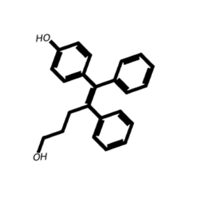 OCCCC(=C(c1ccccc1)c1ccc(O)cc1)c1ccccc1